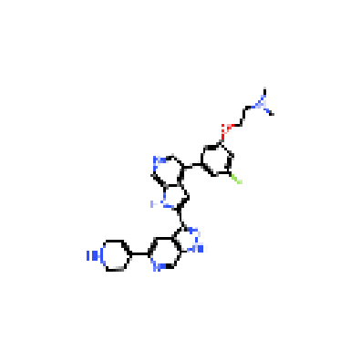 CN(C)CCOc1cc(F)cc(-c2cncc3[nH]c(-c4n[nH]c5cnc(C6=CCNCC6)cc45)cc23)c1